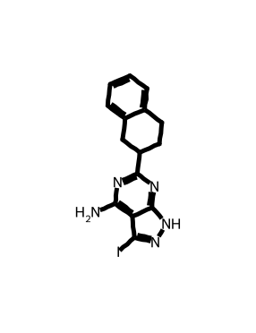 Nc1nc(C2CCc3ccccc3C2)nc2[nH]nc(I)c12